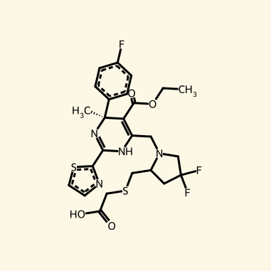 CCOC(=O)C1=C(CN2CC(F)(F)CC2CSCC(=O)O)NC(c2nccs2)=N[C@@]1(C)c1ccc(F)cc1